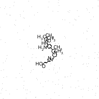 CCC(CC1CC(Cn2cc(/C=C/C(=O)O)cn2)CCN1C)c1ccc(NC(=O)OC(C)(C)C)c(N)c1